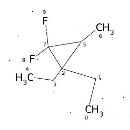 CCC1(CC)C(C)C1(F)F